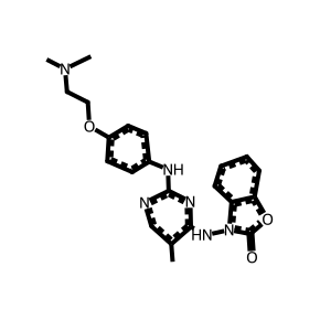 Cc1cnc(Nc2ccc(OCCN(C)C)cc2)nc1Nn1c(=O)oc2ccccc21